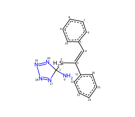 NC1([SiH2]C(=Cc2ccccc2)c2ccccc2)N=NN=N1